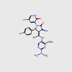 COc1nc(N(C)C)ncc1N/C(=C1\C(=N)C(=O)N(c2cc(Cl)c[nH]c2=O)[C@@H]1c1ccc(Cl)cc1)C(C)C